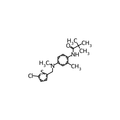 Cc1cc(N(C)Cc2ccc(Cl)s2)ccc1NC(=O)C(C)(C)C